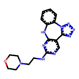 c1ccc2c(c1)Nc1nc(NCCN3CCOCC3)ncc1-c1nnnn1-2